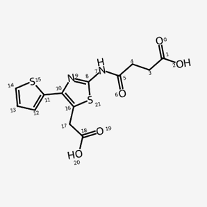 O=C(O)CCC(=O)Nc1nc(-c2cccs2)c(CC(=O)O)s1